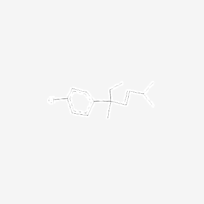 CCC(C)(/C=C/C(C)C)c1ccc(Cl)cc1